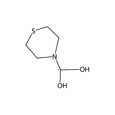 O[C](O)N1CCSCC1